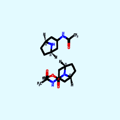 CC(C)(C)OC(=O)N1[C@@H]2CC[C@H]1CC(NC(=O)C(F)(F)F)C2.O=C(NC1C[C@H]2CC[C@@H](C1)N2)C(F)(F)F